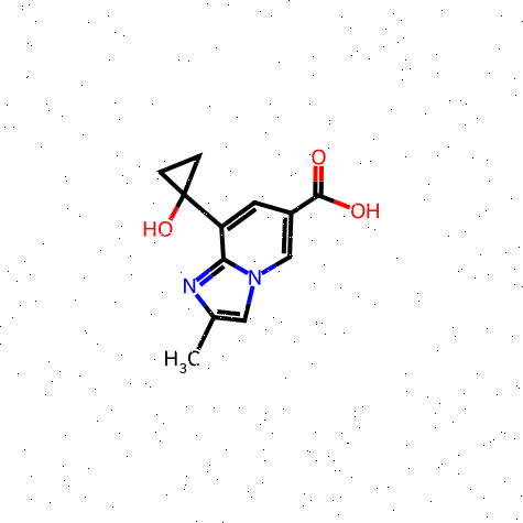 Cc1cn2cc(C(=O)O)cc(C3(O)CC3)c2n1